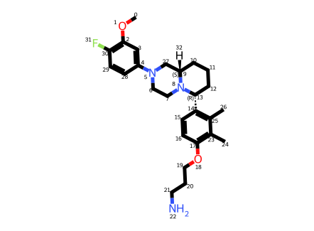 COc1cc(N2CCN3[C@@H](CCC[C@@H]3c3ccc(OCCCN)c(C)c3C)C2)ccc1F